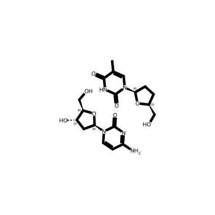 Cc1cn([C@H]2CC[C@@H](CO)O2)c(=O)[nH]c1=O.Nc1ccn([C@H]2C[C@H](O)[C@@H](CO)O2)c(=O)n1